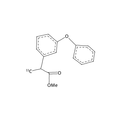 COC(=O)C([11CH3])c1cccc(Oc2ccccc2)c1